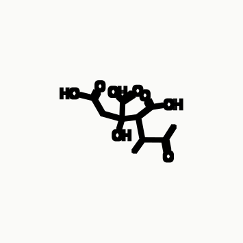 CC(=O)C(C)C(C(=O)O)C(O)(CC(=O)O)C(=O)O